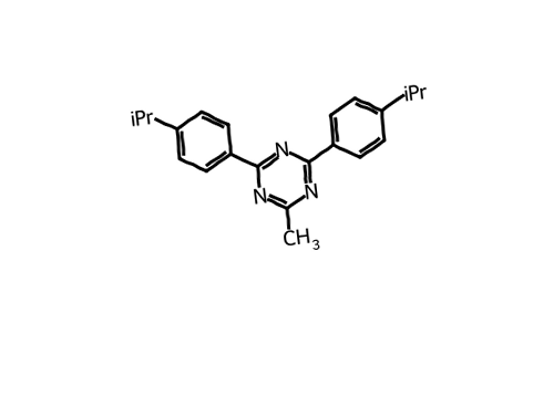 Cc1nc(-c2ccc(C(C)C)cc2)nc(-c2ccc(C(C)C)cc2)n1